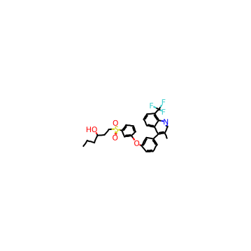 CCCC(O)CCS(=O)(=O)c1cccc(Oc2cccc(-c3c(C)cnc4c(C(F)(F)F)cccc34)c2)c1